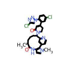 C[C@@H]1CCCC(N2CCC(c3cc(Cl)ccc3-n3cc(Cl)nn3)=CC2=O)c2cc(ccn2)-c2c(ccn2C)NC1=O